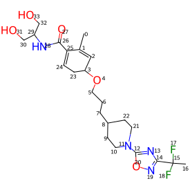 CC1=CC(OCCCC2CCN(c3nc(C(C)(F)F)no3)CC2)CC=C1C(=O)NC(CO)CO